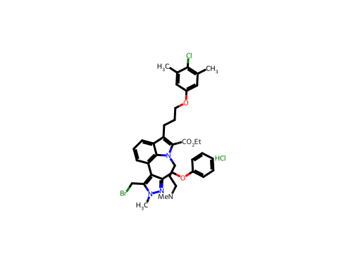 CCOC(=O)c1c(CCCOc2cc(C)c(Cl)c(C)c2)c2cccc(-c3c(COc4ccccc4)nn(C)c3CBr)c2n1CCCNC.Cl